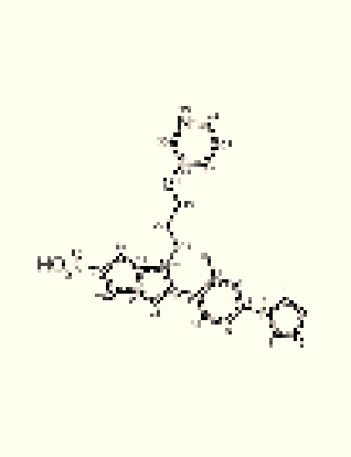 Cc1cc(-n2ccnc2)ccc1-c1cc2sc(C(=O)O)cc2n1CCCOc1cccnc1